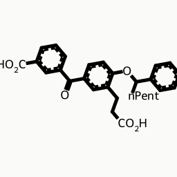 CCCCCC(Oc1ccc(C(=O)c2cccc(C(=O)O)c2)cc1CCC(=O)O)c1ccccc1